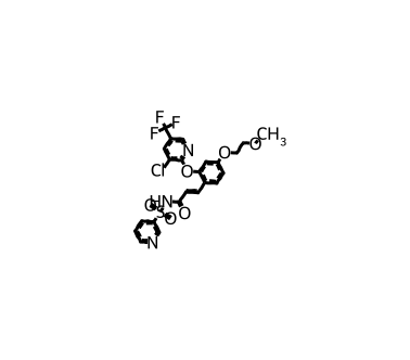 COCCOc1ccc(C=CC(=O)NS(=O)(=O)c2cccnc2)c(Oc2ncc(C(F)(F)F)cc2Cl)c1